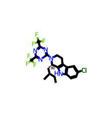 CCC(C)C[C@H]1c2[nH]c3ccc(Cl)cc3c2CCN1c1nc(C(F)(F)F)nc(C(F)(F)F)n1